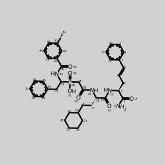 NC(=O)[C@H](C/C=C/c1ccccc1)NC(=O)[C@H](CCC1CCCCC1)NC(=O)CP(=O)(O)C(Cc1ccccc1)NC(=O)c1cccc(F)c1